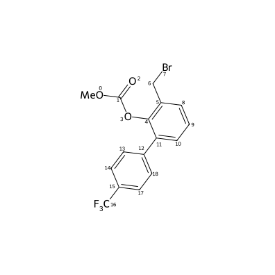 COC(=O)Oc1c(CBr)cccc1-c1ccc(C(F)(F)F)cc1